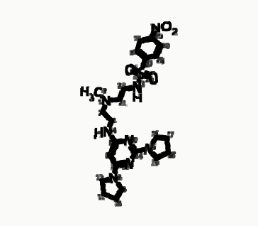 CN(CCNc1cc(N2CCCC2)nc(N2CCCC2)n1)CCNS(=O)(=O)c1ccc([N+](=O)[O-])cc1